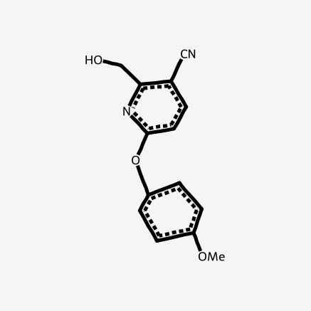 COc1ccc(Oc2ccc(C#N)c(CO)n2)cc1